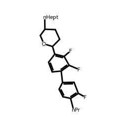 CCCCCCCC1CCC(c2ccc(-c3ccc(CCC)c(F)c3)c(F)c2F)OC1